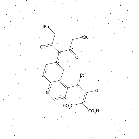 CCC(=C(C(=O)O)C(=O)O)N(CC)c1ncnc2ccc(N(C(=O)CC(C)(C)C)C(=O)CC(C)(C)C)cc12